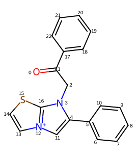 O=C(Cn1c(-c2ccccc2)c[n+]2ccsc12)c1ccccc1